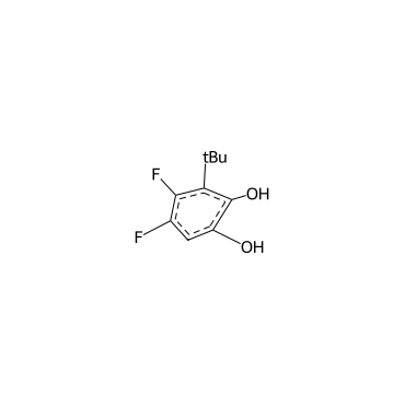 CC(C)(C)c1c(O)c(O)cc(F)c1F